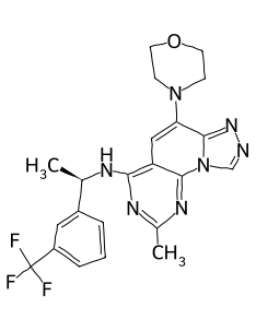 Cc1nc(N[C@H](C)c2cccc(C(F)(F)F)c2)c2cc(N3CCOCC3)c3nncn3c2n1